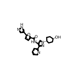 O=C(Nc1cn([C@H]2CC[C@@H](O)CC2)nc1-c1ccccn1)c1ccc(-c2cn[nH]c2)o1